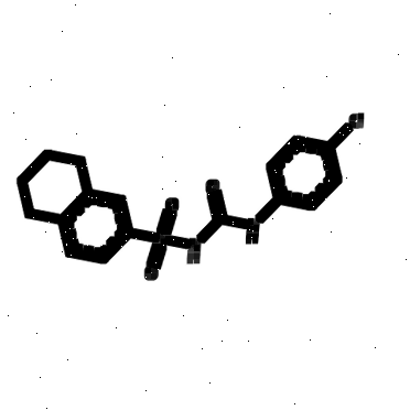 O=C(Nc1ccc(Cl)cc1)NS(=O)(=O)c1ccc2c(c1)CCCC2